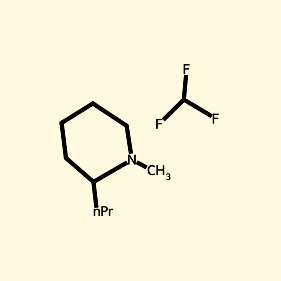 CCCC1CCCCN1C.FC(F)F